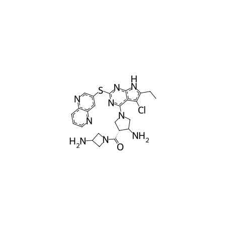 CCc1[nH]c2nc(Sc3cnc4cccnc4c3)nc(N3CC(N)[C@H](C(=O)N4CC(N)C4)C3)c2c1Cl